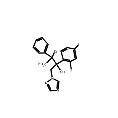 CCC(C(=O)O)(c1ccccc1)C(O)(Cn1cncn1)c1ccc(F)cc1F